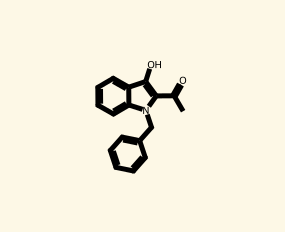 CC(=O)c1c(O)c2ccccc2n1Cc1ccccc1